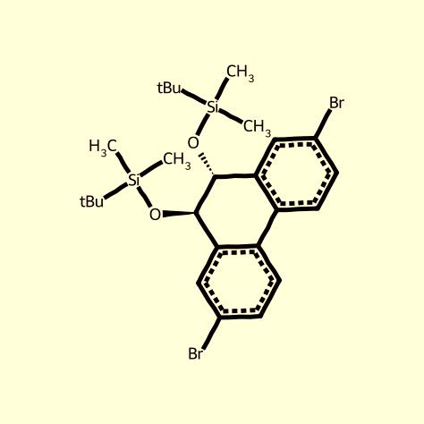 CC(C)(C)[Si](C)(C)O[C@@H]1c2cc(Br)ccc2-c2ccc(Br)cc2[C@H]1O[Si](C)(C)C(C)(C)C